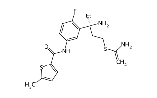 C=C(N)SCC[C@@](N)(CC)c1cc(NC(=O)c2ccc(C)s2)ccc1F